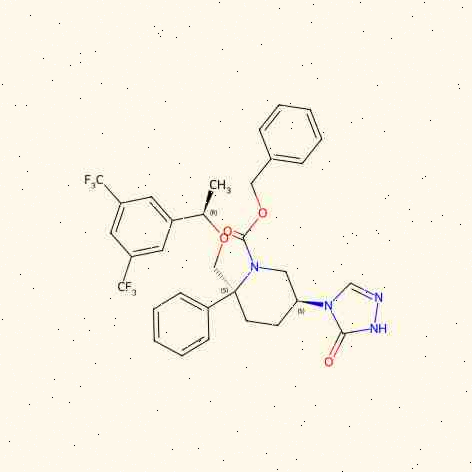 C[C@@H](OC[C@@]1(c2ccccc2)CC[C@H](n2cn[nH]c2=O)CN1C(=O)OCc1ccccc1)c1cc(C(F)(F)F)cc(C(F)(F)F)c1